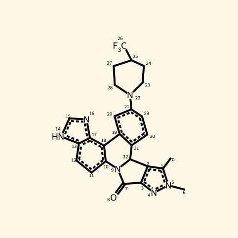 Cc1c2c(nn1C)C(=O)N1c3ccc4[nH]cnc4c3-c3cc(N4CCC(C(F)(F)F)CC4)ccc3C21